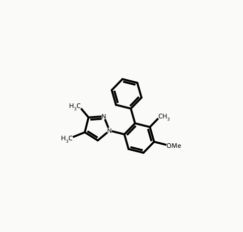 COc1ccc(-n2cc(C)c(C)n2)c(-c2ccccc2)c1C